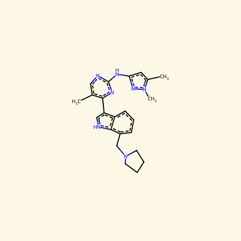 Cc1cnc(Nc2cc(C)n(C)n2)nc1-c1c[nH]c2c(CN3CCCC3)cccc12